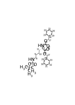 CC(C)(C)OC(=O)NCCCC[C@H](NC(=O)OCc1ccccc1)C(=O)OCc1ccccc1